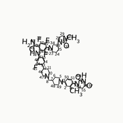 Cc1cc(N2CCC(CN3CCC(c4ccc(Nc5c(F)c(N6CCCC(N7CCN(C)C7=O)C6)c(F)c(F)c5C(N)=O)cc4F)CC3)CC2)ccc1N1CCC(=O)NC1=O